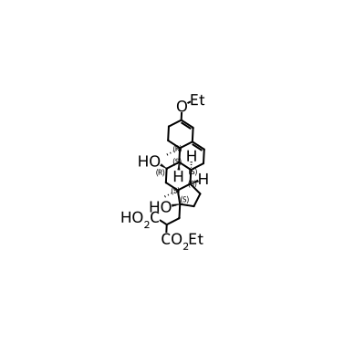 CCOC(=O)C(C[C@@]1(O)CC[C@H]2[C@@H]3CC=C4C=C(OCC)CC[C@]4(C)[C@H]3[C@H](O)C[C@@]21C)C(=O)O